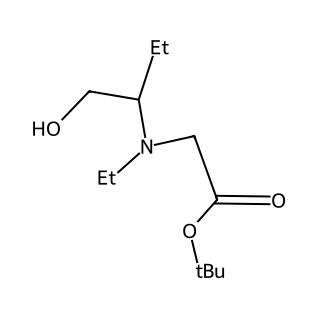 CCC(CO)N(CC)CC(=O)OC(C)(C)C